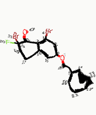 O=C1c2c(Br)cc(OCc3ccccc3)cc2CCC1(F)Br